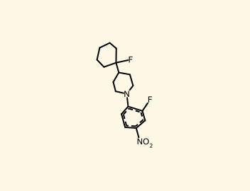 O=[N+]([O-])c1ccc(N2CCC(C3(F)CCCCC3)CC2)c(F)c1